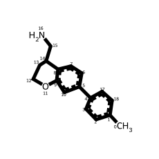 Cc1ccc(-c2ccc3c(c2)OCCC3CN)cc1